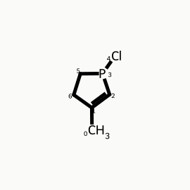 CC1=CP(Cl)CC1